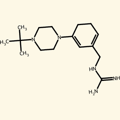 CC(C)(C)N1CCN(C2=CC(CNC(=N)N)=CCC2)CC1